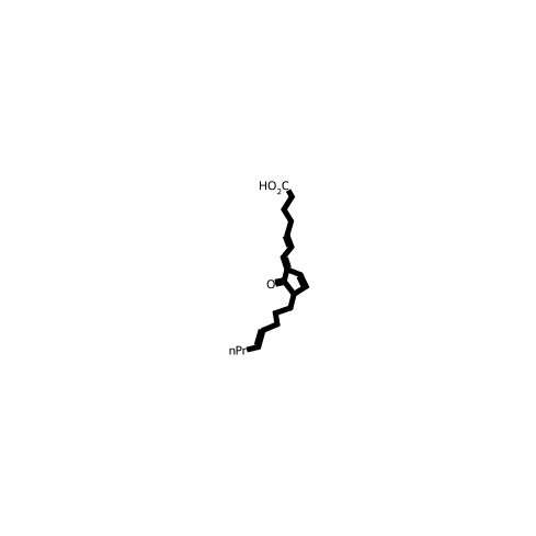 CCCC=CCCCC1C=CC(=CC=CCCCC(=O)O)C1=O